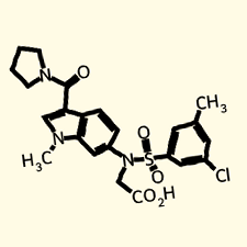 Cc1cc(Cl)cc(S(=O)(=O)N(CC(=O)O)c2ccc3c(C(=O)N4CCCC4)cn(C)c3c2)c1